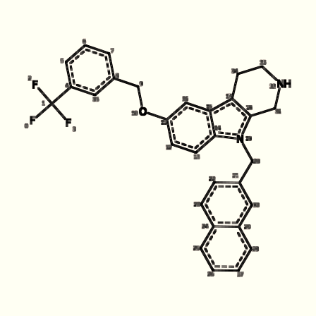 FC(F)(F)c1cccc(COc2ccc3c(c2)c2c(n3Cc3ccc4ccccc4c3)CNCC2)c1